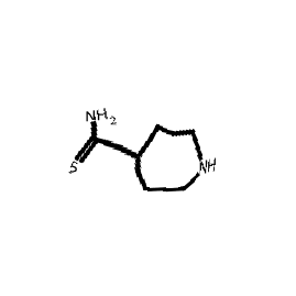 NC(=S)C1CCNCC1